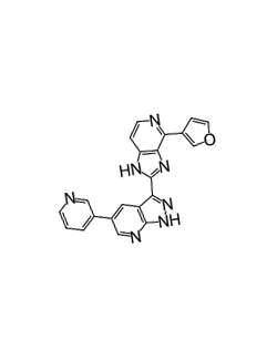 c1cncc(-c2cnc3[nH]nc(-c4nc5c(-c6ccoc6)nccc5[nH]4)c3c2)c1